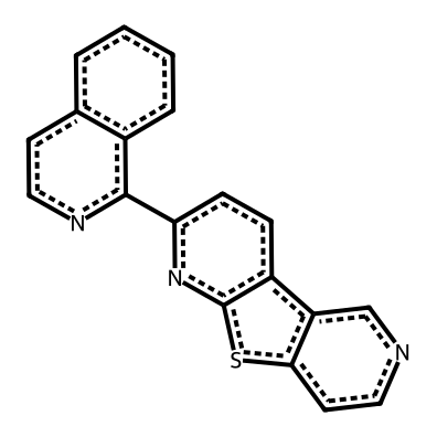 c1ccc2c(-c3ccc4c(n3)sc3ccncc34)nccc2c1